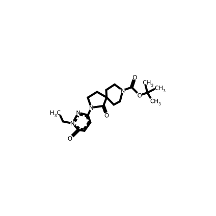 CCn1nc(N2CCC3(CCN(C(=O)OC(C)(C)C)CC3)C2=O)ccc1=O